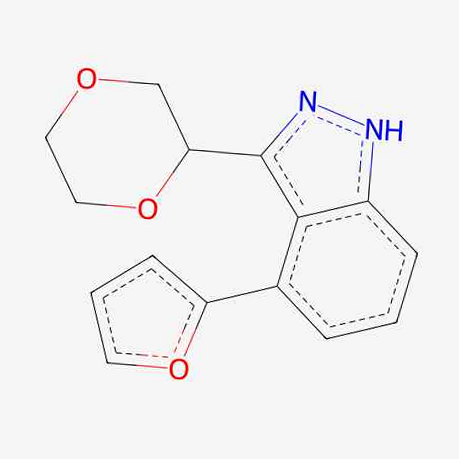 c1coc(-c2cccc3[nH]nc(C4COCCO4)c23)c1